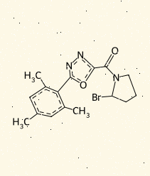 Cc1cc(C)c(-c2nnc(C(=O)N3CCCC3Br)o2)c(C)c1